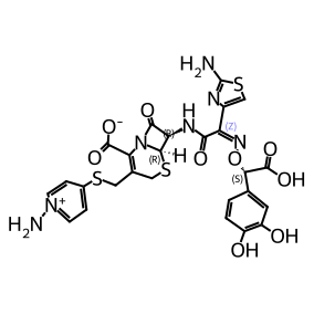 Nc1nc(/C(=N/O[C@H](C(=O)O)c2ccc(O)c(O)c2)C(=O)N[C@@H]2C(=O)N3C(C(=O)[O-])=C(CSc4cc[n+](N)cc4)CS[C@H]23)cs1